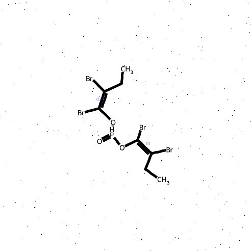 CC/C(Br)=C(/Br)O[PH](=O)O/C(Br)=C(/Br)CC